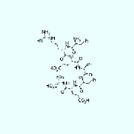 CCCC[C@H](NC(=O)[C@H](CCC(=O)O)NC(=O)[C@H](CC(C)C)NC(=O)[C@@H](NC(=O)[C@H](CCC(=O)O)NC(=O)[C@H](CCCNC(=N)N)NC(=O)[C@@H](N)CC(C)C)C(C)C)C(=O)O